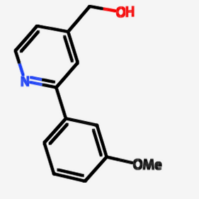 COc1cccc(-c2cc(CO)ccn2)c1